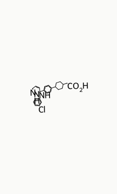 O=C(O)CC1CCC(c2ccc(C3(Nc4cccc(Cl)c4)C=CC=NN3)cc2)CC1